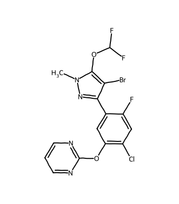 Cn1nc(-c2cc(Oc3ncccn3)c(Cl)cc2F)c(Br)c1OC(F)F